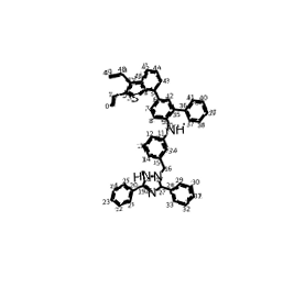 C=Cc1sc2c(-c3ccc(Nc4cccc(CN5NC(c6ccccc6)=NC5c5ccccc5)c4)c(-c4ccccc4)c3)cccc2c1C=C